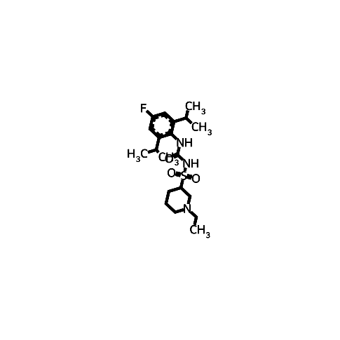 CCN1CCCC(S(=O)(=O)NC(=O)Nc2c(C(C)C)cc(F)cc2C(C)C)C1